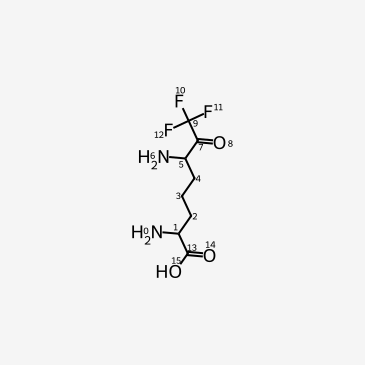 NC(CCCC(N)C(=O)C(F)(F)F)C(=O)O